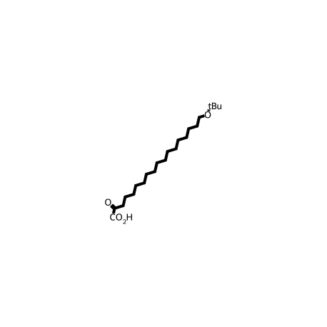 CC(C)(C)OCCCCCCCCCCCCCCCCC(=O)C(=O)O